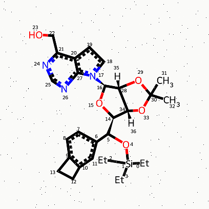 CC[Si](CC)(CC)OC(c1ccc2c(c1)CC2)[C@H]1O[C@@H](n2ccc3c(CO)ncnc32)[C@@H]2OC(C)(C)O[C@@H]21